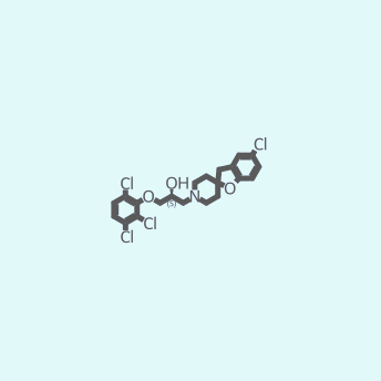 O[C@H](COc1c(Cl)ccc(Cl)c1Cl)CN1CCC2(CC1)Cc1cc(Cl)ccc1O2